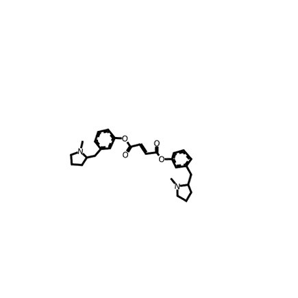 CN1CCCC1Cc1cccc(OC(=O)/C=C/C(=O)Oc2cccc(CC3CCCN3C)c2)c1